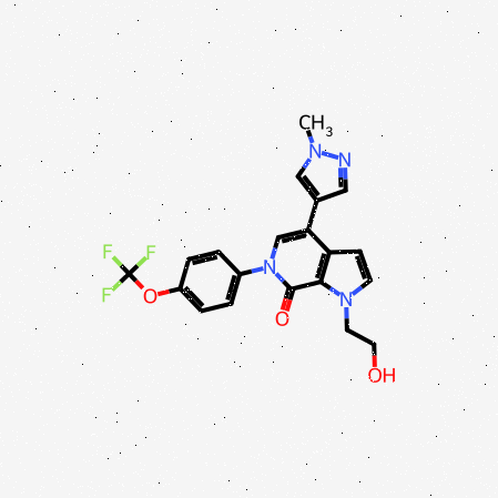 Cn1cc(-c2cn(-c3ccc(OC(F)(F)F)cc3)c(=O)c3c2ccn3CCO)cn1